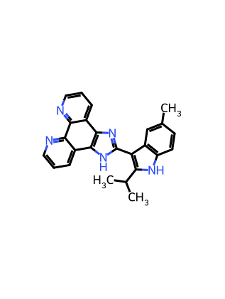 Cc1ccc2[nH]c(C(C)C)c(-c3nc4c5cccnc5c5ncccc5c4[nH]3)c2c1